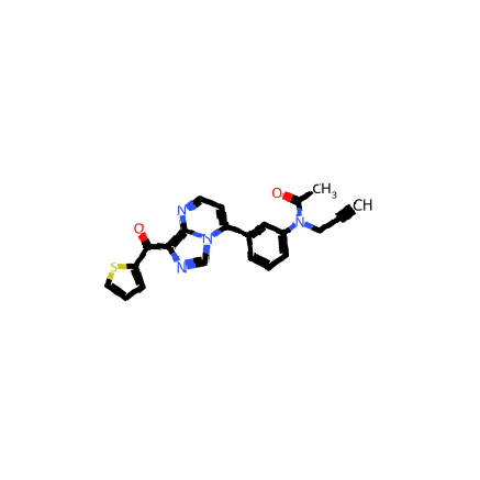 C#CCN(C(C)=O)c1cccc(-c2ccnc3c(C(=O)c4cccs4)ncn23)c1